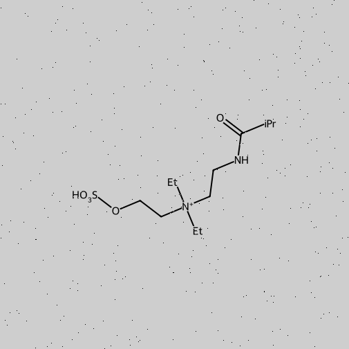 CC[N+](CC)(CCNC(=O)C(C)C)CCOS(=O)(=O)O